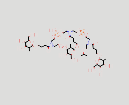 CC(C)OCCN(CCOP(C)(=O)OCCN(CCOP(=O)(O)OCCN(CCO)C(=O)CCCO[C@@H]1OC(CO)[C@H](O)[C@H](O)C1C)C(=O)CCCO[C@@H]1OC(CO)[C@H](O)[C@H](O)C1C)C(=O)CCCO[C@@H]1OC(CO)[C@H](O)[C@H](O)C1C